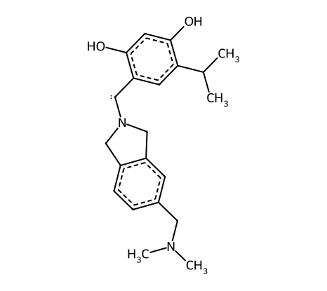 CC(C)c1cc([C]N2Cc3ccc(CN(C)C)cc3C2)c(O)cc1O